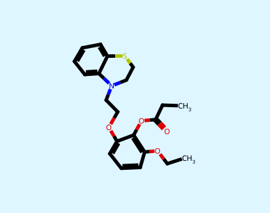 CCOc1cccc(OCCN2CCSc3ccccc32)c1OC(=O)CC